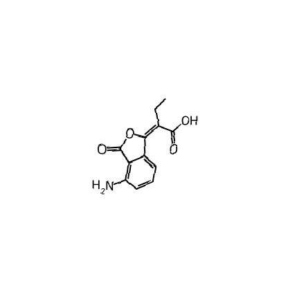 CCC(C(=O)O)=C1OC(=O)c2c(N)cccc21